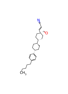 CCCCCc1ccc([C@H]2CC[C@H]([C@H]3CC[C@](C=O)(C=CC#N)CC3)CC2)cc1